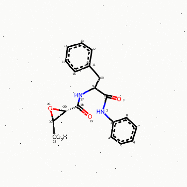 O=C(Nc1ccccc1)C(Cc1ccccc1)NC(=O)[C@H]1O[C@@H]1C(=O)O